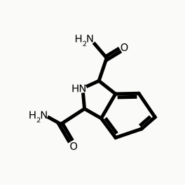 NC(=O)C1NC(C(N)=O)c2ccccc21